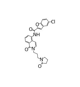 O=C(Nc1cccc2c(=O)n(CCCN3CCCC3=O)ccc12)c1cc2cc(Cl)ccc2o1